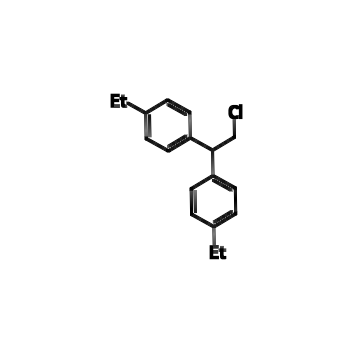 CCc1ccc(C(CCl)c2ccc(CC)cc2)cc1